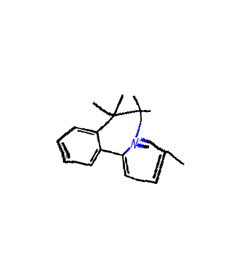 Cc1ccc2[n+](c1)C(C)(C)C(C)(C)c1ccccc1-2